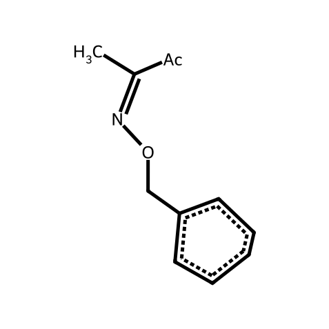 CC(=O)/C(C)=N\OCc1ccccc1